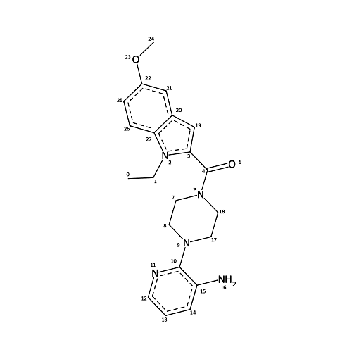 CCn1c(C(=O)N2CCN(c3ncccc3N)CC2)cc2cc(OC)ccc21